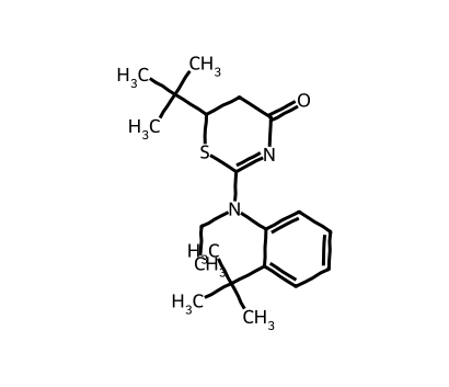 CCN(C1=NC(=O)CC(C(C)(C)C)S1)c1ccccc1C(C)(C)C